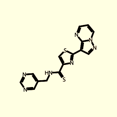 S=C(NCc1cncnc1)c1csc(-c2cnn3cccnc23)n1